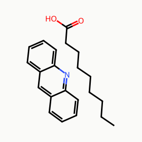 CCCCCCCCC(=O)O.c1ccc2nc3ccccc3cc2c1